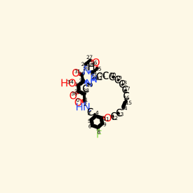 O=C1NCc2ccc(F)cc2OCC/C=C\CCCCCCCN2[C@H]3COCCN3C(=O)c3c(O)c(=O)c1cn32